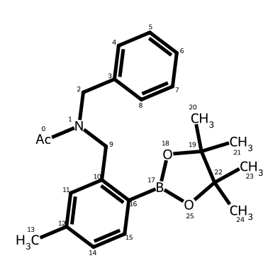 CC(=O)N(Cc1ccccc1)Cc1cc(C)ccc1B1OC(C)(C)C(C)(C)O1